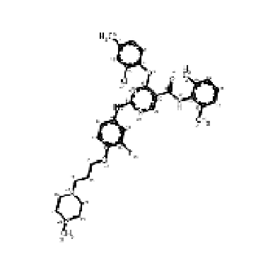 Cc1ccc(Oc2nc(Nc3ccc(OCCCN4CCN(C)CC4)c(F)c3)ncc2C(=O)Nc2c(C)cccc2C)c(Cl)c1